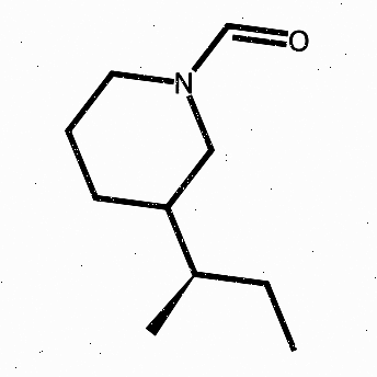 CC[C@@H](C)C1CCCN(C=O)C1